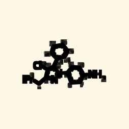 CC(C)Cc1nn(-c2ccc(N)cc2)c(-c2ccccc2)c1Cl